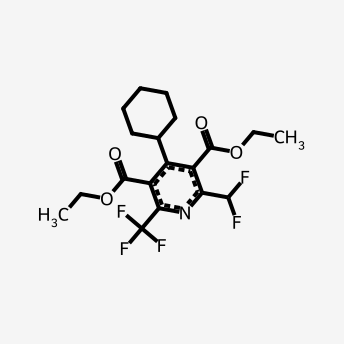 CCOC(=O)c1c(C(F)F)nc(C(F)(F)F)c(C(=O)OCC)c1C1CCCCC1